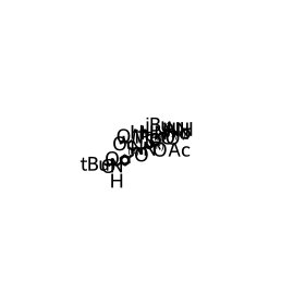 CC[C@H](C)[C@H](NC(=O)[C@H]1CCCCN1)C(=O)N[C@H](C[C@@H](OC(C)=O)c1nc(C(=O)N[C@@H](Cc2ccc(NC(=O)OC(C)(C)C)cc2)CC(C)C(=O)OC)cs1)C(C)C